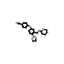 N#Cc1ccc(Oc2ccc(B3OCCO3)c(COC3CCCCO3)c2)cc1